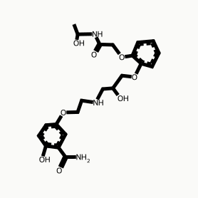 CC(O)NC(=O)COc1ccccc1OCC(O)CNCCOc1ccc(O)c(C(N)=O)c1